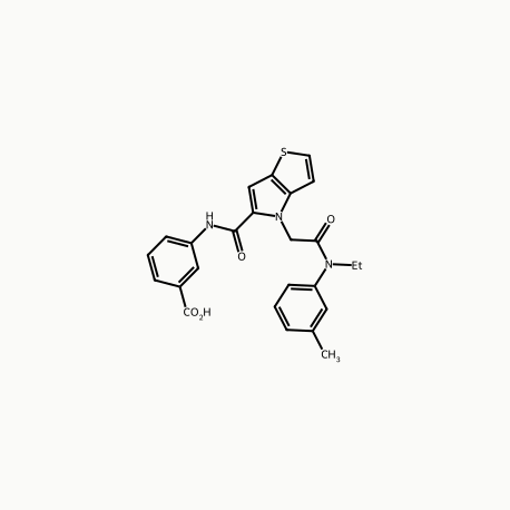 CCN(C(=O)Cn1c(C(=O)Nc2cccc(C(=O)O)c2)cc2sccc21)c1cccc(C)c1